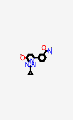 COc1ccc(-c2cccc(C(=O)N(C)C)c2)n2nc(C3CC3)nc12